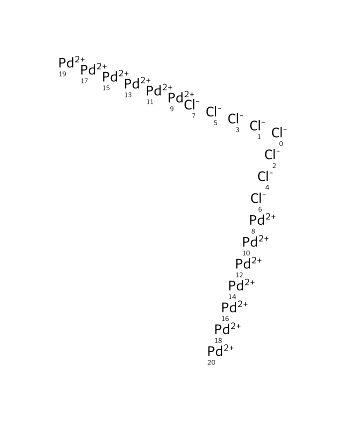 [Cl-].[Cl-].[Cl-].[Cl-].[Cl-].[Cl-].[Cl-].[Cl-].[Pd+2].[Pd+2].[Pd+2].[Pd+2].[Pd+2].[Pd+2].[Pd+2].[Pd+2].[Pd+2].[Pd+2].[Pd+2].[Pd+2].[Pd+2]